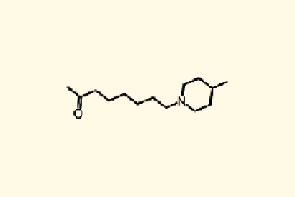 CC(=O)CCCCCCN1CCC(C)CC1